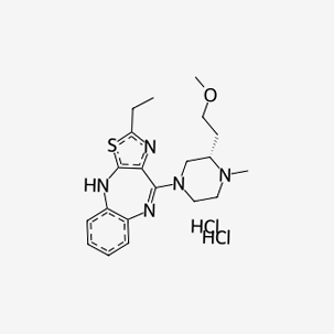 CCc1nc2c(s1)Nc1ccccc1N=C2N1CCN(C)[C@@H](CCOC)C1.Cl.Cl